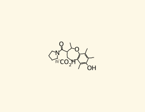 Cc1c(C)c2c(c(C)c1O)CCC(C(=O)N1CCC[C@H]1C(=O)O)C(C)O2